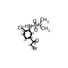 CN(C)S(=O)(=O)Nc1cc(C(=O)CBr)ccc1Cl